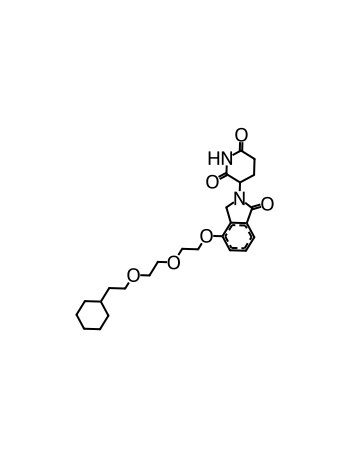 O=C1CCC(N2Cc3c(OCCOCCOCCC4CCCCC4)cccc3C2=O)C(=O)N1